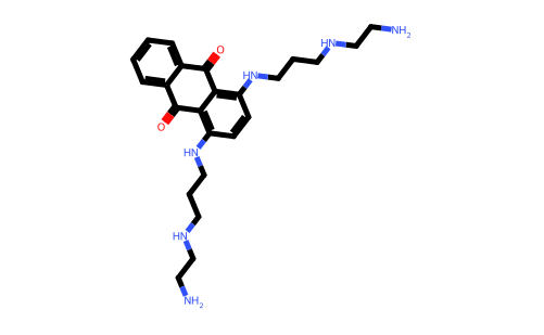 NCCNCCCNc1ccc(NCCCNCCN)c2c1C(=O)c1ccccc1C2=O